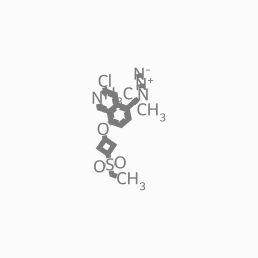 CCS(=O)(=O)C1CC(Oc2ccc(C(C)(C)N=[N+]=[N-])c3cc(Cl)ncc23)C1